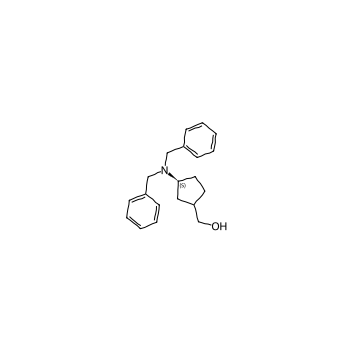 OCC1CC[C@H](N(Cc2ccccc2)Cc2ccccc2)C1